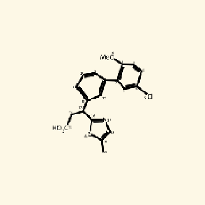 COc1ccc(Cl)cc1-c1cccc(C(CC(=O)O)c2ncc(C)s2)c1